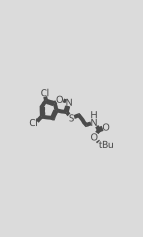 CC(C)(C)OC(=O)NCCSc1noc2c(Cl)cc(Cl)cc12